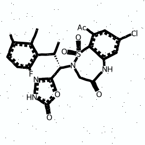 CC(=O)c1cc(Cl)cc2c1S(=O)(=O)N([C@H](c1n[nH]c(=O)o1)C(C)c1c(F)ccc(C)c1C)CC(=O)N2